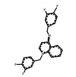 Fc1ccc(C/N=c2\ccn(Cc3ccc(F)c(F)c3)c3ccccc23)cc1F